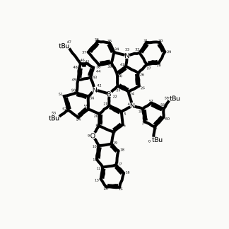 CC(C)(C)c1cc(N2c3cc4c(oc5cc6ccccc6cc54)c4c3B(c3c2cc2c5ccccc5n5c6ccccc6c3c25)n2c3ccc(C(C)(C)C)cc3c3cc(C(C)(C)C)cc-4c32)cc(C(C)(C)C)c1